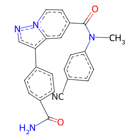 CN(C(=O)c1ccn2ncc(-c3ccc(C(N)=O)cc3)c2c1)c1ccc(C#N)cc1